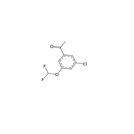 CC(=O)c1cc(Cl)cc(OC(F)F)c1